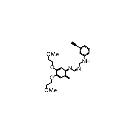 C#Cc1cccc(NC/N=C\N=C2\C=C(OCCOC)C(OCCOC)=CC2=C)c1